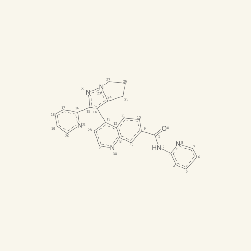 O=C(Nc1ccccn1)c1ccc2c(-c3c(-c4ccccn4)nn4c3CCC4)ccnc2c1